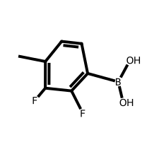 Cc1ccc(B(O)O)c(F)c1F